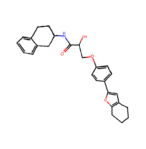 O=C(NC1CCc2ccccc2C1)C(O)COc1ccc(-c2cc3c(o2)CCCC3)cc1